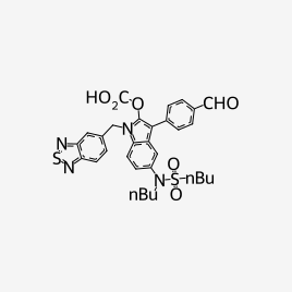 CCCCN(c1ccc2c(c1)c(-c1ccc(C=O)cc1)c(OC(=O)O)n2Cc1ccc2nsnc2c1)S(=O)(=O)CCCC